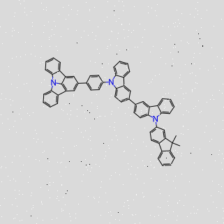 CC1(C)c2ccccc2-c2ccc(-n3c4ccccc4c4cc(-c5ccc6c(c5)c5ccccc5n6-c5ccc(-c6cc7c8ccccc8n8c9ccccc9c(c6)c78)cc5)ccc43)cc21